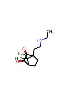 CCNCCC12CCC(C(=O)C1=O)C2(C)C